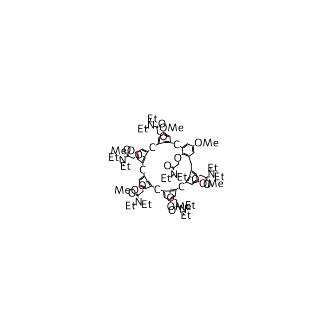 CCN(CC)C(=O)COc1c2cc(OC)cc1Cc1cc(OC)cc(c1OCC(=O)N(CC)CC)Cc1cc(OC)cc(c1OCC(=O)N(CC)CC)Cc1cc(OC)cc(c1OCC(=O)N(CC)CC)Cc1cc(OC)cc(c1OCC(=O)N(CC)CC)Cc1cc(OC)cc(c1OCC(=O)N(CC)CC)C2